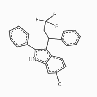 FC(F)(F)CC(c1ccccc1)c1c(-c2ccccc2)[nH]c2cc(Cl)ccc12